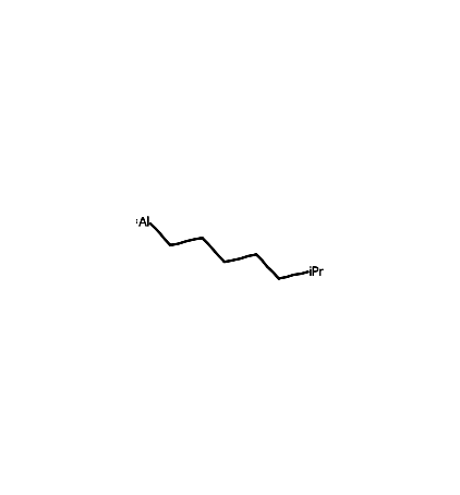 CC(C)CCCC[CH2][Al]